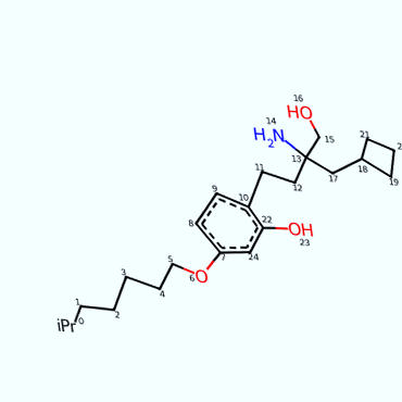 CC(C)CCCCCOc1ccc(CCC(N)(CO)CC2CCC2)c(O)c1